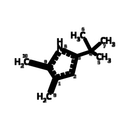 C=c1cc(C(C)(C)C)[nH]c1=C